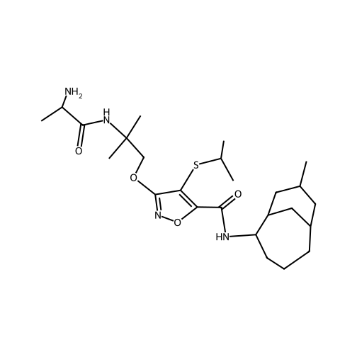 CC1CC2CCCC(NC(=O)c3onc(OCC(C)(C)NC(=O)C(C)N)c3SC(C)C)C(C1)C2